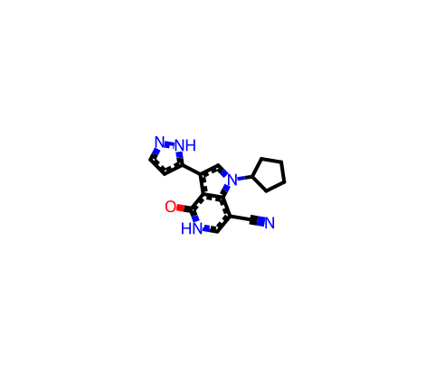 N#Cc1c[nH]c(=O)c2c(-c3ccn[nH]3)cn(C3CCCC3)c12